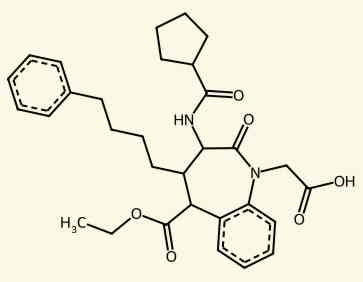 CCOC(=O)C1c2ccccc2N(CC(=O)O)C(=O)C(NC(=O)C2CCCC2)C1CCCCc1ccccc1